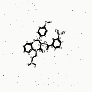 COc1ccc([C@@H]2Sc3ccccc3N(CCN(C)C)C(=O)[C@@H]2OC(=O)c2cccc([N+](=O)[O-])c2)cc1